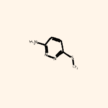 Nc1ccc(SC(F)(F)F)nn1